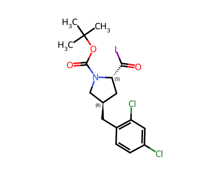 CC(C)(C)OC(=O)N1C[C@H](Cc2ccc(Cl)cc2Cl)C[C@H]1C(=O)I